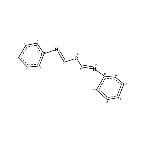 C(=Nc1ccccc1)OC=Nc1ccccc1